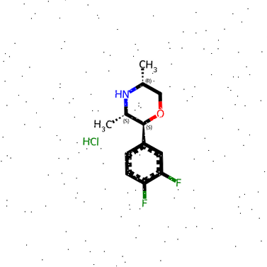 C[C@@H]1CO[C@@H](c2ccc(F)c(F)c2)[C@H](C)N1.Cl